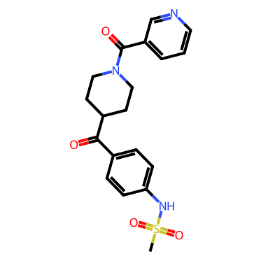 CS(=O)(=O)Nc1ccc(C(=O)C2CCN(C(=O)c3cccnc3)CC2)cc1